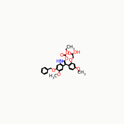 CCOC(=O)Oc1[nH]c2cc(OCc3ccccc3)c(OC)cc2c1-c1ccc(OC)cc1OCC(=O)O